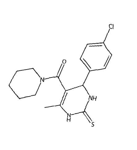 CC1=C(C(=O)N2CCCCC2)C(c2ccc(Cl)cc2)NC(=S)N1